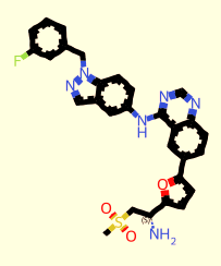 CS(=O)(=O)C[C@@H](N)c1ccc(-c2ccc3ncnc(Nc4ccc5c(cnn5Cc5cccc(F)c5)c4)c3c2)o1